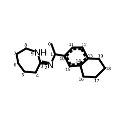 CC(/N=C1/CCCCCN1)c1ccc2c(c1)CCCC2